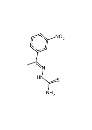 CC(=NNC(N)=S)c1cccc([N+](=O)[O-])c1